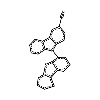 N#Cc1ccc2c(c1)c1ccccc1n2-c1cccc2c1sc1ccccc12